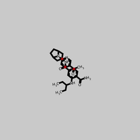 CCC(CC)Nc1cc(C(=O)NC2CC3CCC(C2)N3c2ccc(C(C)=O)cn2)ccc1C(N)=O